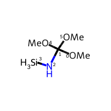 COC(N[SiH3])(OC)OC